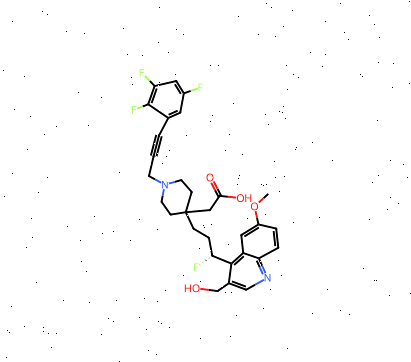 COc1ccc2ncc(CO)c([C@H](F)CCC3(CC(=O)O)CCN(CC#Cc4cc(F)cc(F)c4F)CC3)c2c1